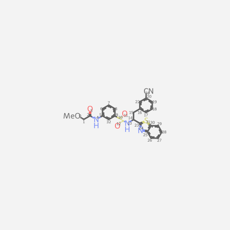 COCC(=O)Nc1cccc(S(=O)(=O)NC(Cc2cccc(C#N)c2)c2nc3ccccc3s2)c1